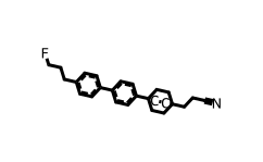 N#CCCC12CCC(c3ccc(-c4ccc(CCCF)cc4)cc3)(CC1)CC2